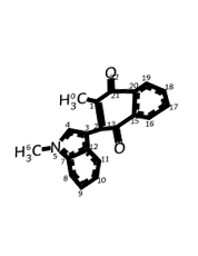 CC1=C(c2cn(C)c3ccccc23)C(=O)c2ccccc2C1=O